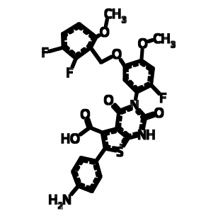 COc1cc(F)c(-n2c(=O)[nH]c3sc(-c4ccc(N)cc4)c(C(=O)O)c3c2=O)cc1OCc1c(OC)ccc(F)c1F